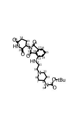 CN(C(=O)OC(C)(C)C)C1CCN(CCNc2cccc3c2C(=O)N(C2CCC(=O)NC2=O)C3=O)CC1